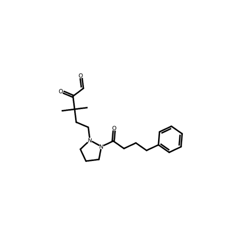 CC(C)(CCN1CCCN1C(=O)CCCc1ccccc1)C(=O)C=O